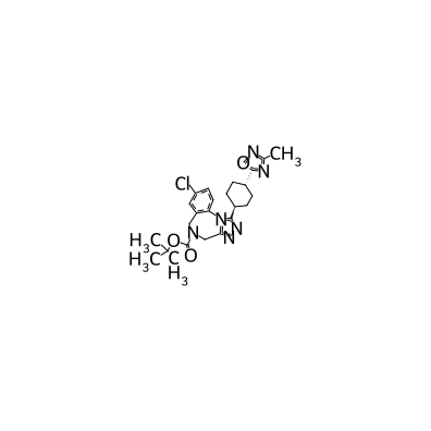 Cc1noc([C@H]2CC[C@H](c3nnc4n3-c3ccc(Cl)cc3CN(C(=O)OC(C)(C)C)C4)CC2)n1